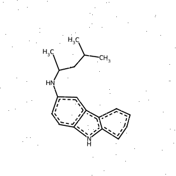 CC(C)CC(C)Nc1ccc2[nH]c3ccccc3c2c1